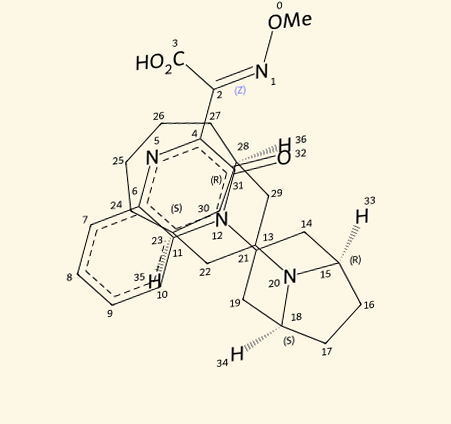 CO/N=C(\C(=O)O)c1nc2ccccc2n(C2C[C@H]3CC[C@@H](C2)N3C2C[C@H]3CCCC[C@@H](C2)C3)c1=O